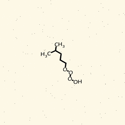 CC(C)CCCOOOO